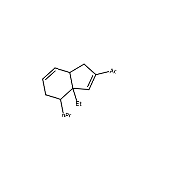 CCCC1CC=CC2CC(C(C)=O)=CC21CC